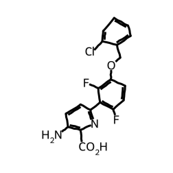 Nc1ccc(-c2c(F)ccc(OCc3ccccc3Cl)c2F)nc1C(=O)O